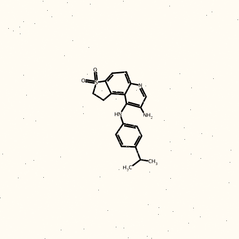 CC(C)c1ccc(Nc2c(N)cnc3ccc4c(c23)CCS4(=O)=O)cc1